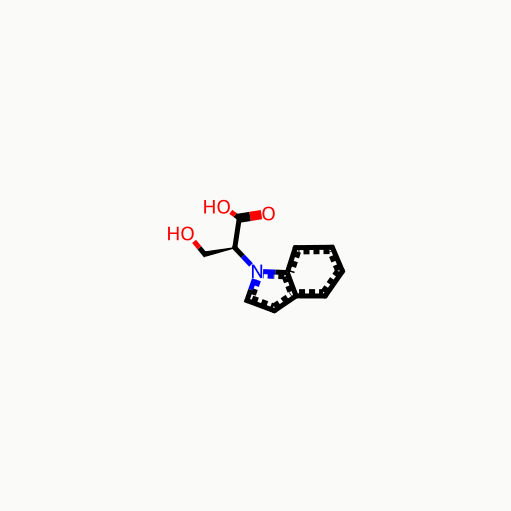 O=C(O)[C@H](CO)n1ccc2ccccc21